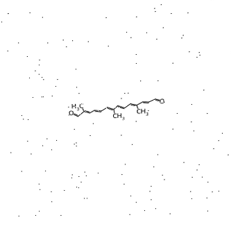 C\C(C=O)=C/C=C/C=C(C)/C=C/C=C(C)/C=C/C=O